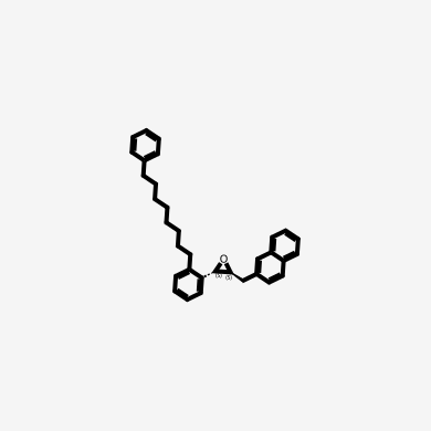 c1ccc(CCCCCCCCc2ccccc2[C@@H]2O[C@H]2Cc2ccc3ccccc3c2)cc1